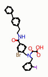 O=C(O)C(=O)N(Cc1ccc(C(=O)NCCc2ccc(-c3ccccc3)cc2)cc1Br)Cc1ccccc1I